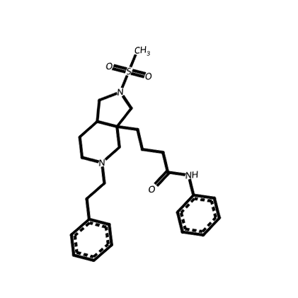 CS(=O)(=O)N1CC2CCN(CCc3ccccc3)CC2(CCCC(=O)Nc2ccccc2)C1